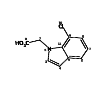 O=C(O)Cn1ccc2cccc(Cl)c21